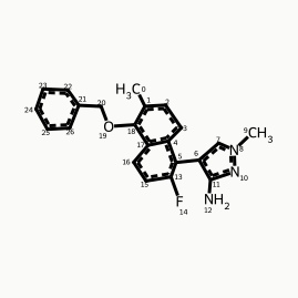 Cc1ccc2c(-c3cn(C)nc3N)c(F)ccc2c1OCc1ccccc1